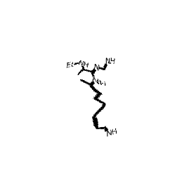 CCNC(C)/C(=N/C=N)N/C(C)=C/CC/C=C\C=N